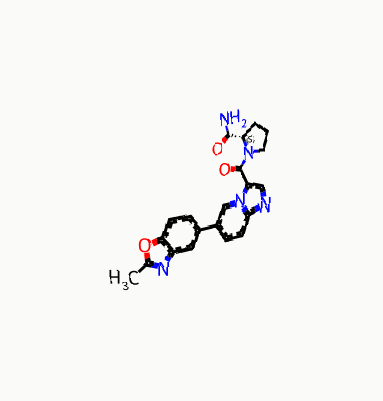 Cc1nc2cc(-c3ccc4ncc(C(=O)N5CCC[C@H]5C(N)=O)n4c3)ccc2o1